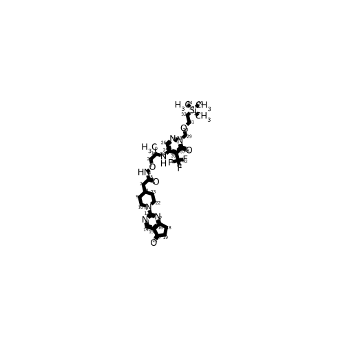 C[C@@H](CONC(=O)CC1CCN(c2ncc3c(n2)CCC3=O)CC1)Nc1cnn(COCC[Si](C)(C)C)c(=O)c1C(F)(F)F